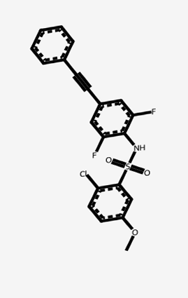 COc1ccc(Cl)c(S(=O)(=O)Nc2c(F)cc(C#Cc3ccccc3)cc2F)c1